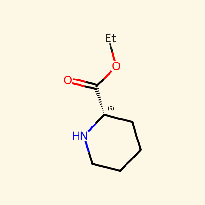 CCOC(=O)[C@@H]1CCCCN1